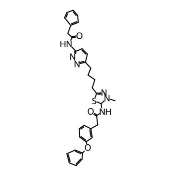 CN1N=C(CCCCc2ccc(NC(=O)Cc3ccccc3)nn2)SC1NC(=O)Cc1cccc(Oc2ccccc2)c1